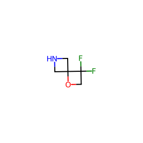 FC1(F)COC12CNC2